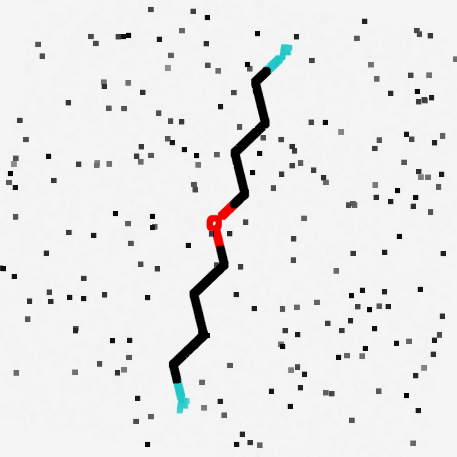 FCCCCOCCCCF